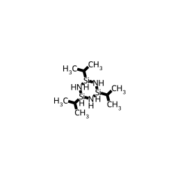 CC(C)[SiH]1N[SiH](C(C)C)N[SiH](C(C)C)N1